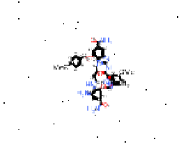 CCn1nc(C)cc1C(=O)Nc1nc2cc(C(N)=O)cc(OCc3ccc(OC)cc3)c2n1CC=CCNc1c(N)cc(C(N)=O)cc1OCc1ccc(OC)cc1